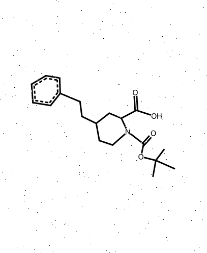 CC(C)(C)OC(=O)N1CCC(CCc2ccccc2)CC1C(=O)O